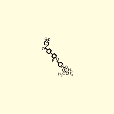 CC(C)(C)OC(=O)N1CCC(COc2ccc(C3=CCC(C(=O)N4CCS(=O)(=O)CC4)CC3)cc2F)CC1